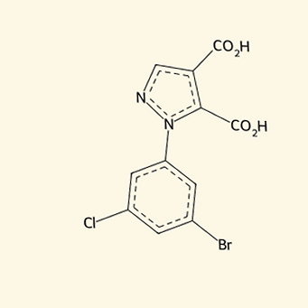 O=C(O)c1cnn(-c2cc(Cl)cc(Br)c2)c1C(=O)O